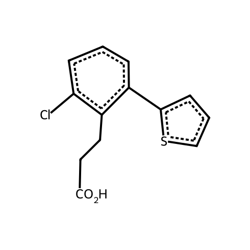 O=C(O)CCc1c(Cl)cccc1-c1cccs1